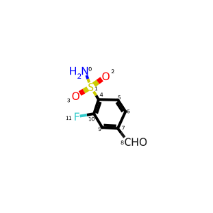 NS(=O)(=O)c1ccc(C=O)cc1F